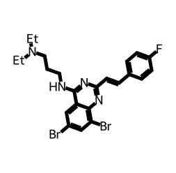 CCN(CC)CCCNc1nc(C=Cc2ccc(F)cc2)nc2c(Br)cc(Br)cc12